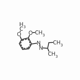 CCC(C)N=Nc1cccc(OC)c1OC